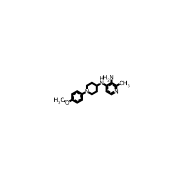 COc1ccc(N2CCC(Nc3ccnc(C)c3N)CC2)cc1